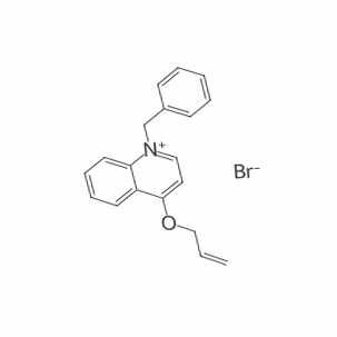 C=CCOc1cc[n+](Cc2ccccc2)c2ccccc12.[Br-]